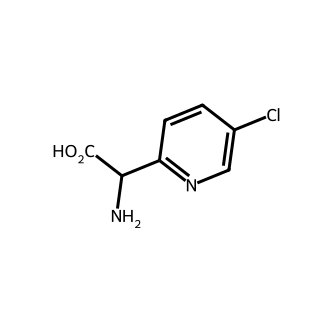 NC(C(=O)O)c1ccc(Cl)cn1